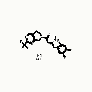 Cl.Cl.N[C@@H](CC(=O)N1CCc2cnc(C(F)(F)F)nc2C1)Cc1cc(F)c(F)cc1F